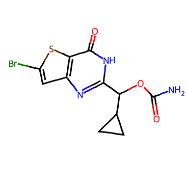 NC(=O)OC(c1nc2cc(Br)sc2c(=O)[nH]1)C1CC1